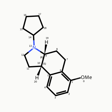 COc1cccc2c1CC[C@@H]1[C@H]2CCN1C1CCCC1